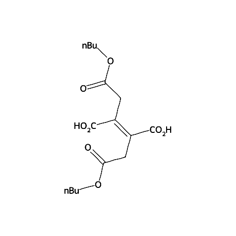 CCCCOC(=O)C/C(C(=O)O)=C(/CC(=O)OCCCC)C(=O)O